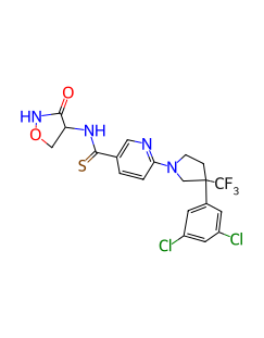 O=C1NOCC1NC(=S)c1ccc(N2CCC(c3cc(Cl)cc(Cl)c3)(C(F)(F)F)C2)nc1